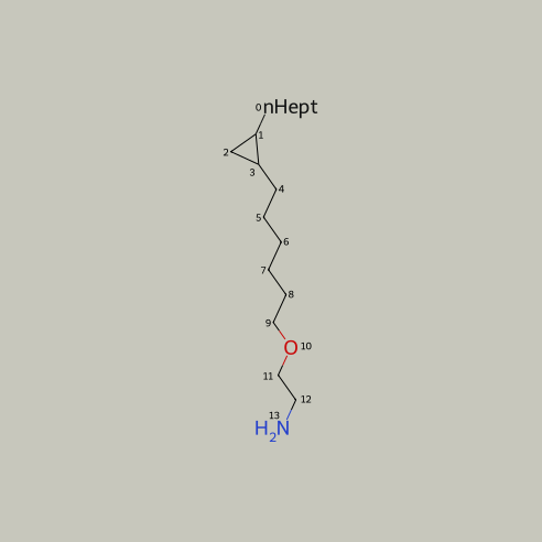 CCCCCCCC1CC1CCCCCCOCCN